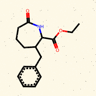 CCOC(=O)C1NC(=O)CCCC1Cc1ccccc1